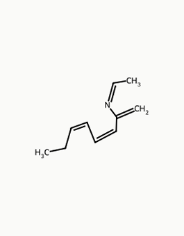 C=C(/C=C\C=C/CC)/N=C\C